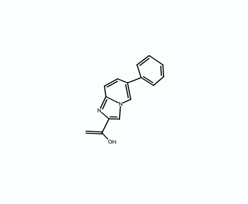 C=C(O)c1cn2cc(-c3ccccc3)ccc2n1